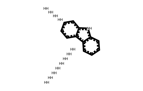 [HH].[HH].[HH].[HH].[HH].[HH].[HH].[HH].[HH].[HH].[HH].[HH].c1ccc2c(c1)[nH]c1ccccc12